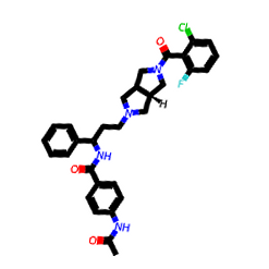 CC(=O)Nc1ccc(C(=O)NC(CCN2CC3CN(C(=O)c4c(F)cccc4Cl)C[C@@H]3C2)c2ccccc2)cc1